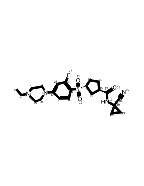 CCN1CCN(c2ccc(S(=O)(=O)[C@@H]3CC[C@@H](C(=O)NC4(C#N)CC4)C3)c(Cl)c2)CC1